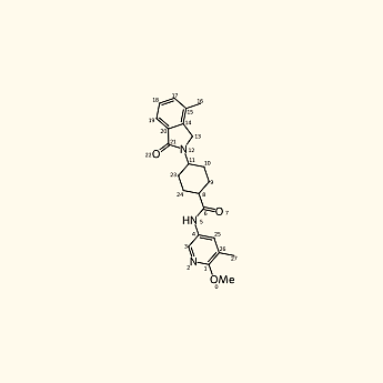 COc1ncc(NC(=O)C2CCC(N3Cc4c(C)cccc4C3=O)CC2)cc1C